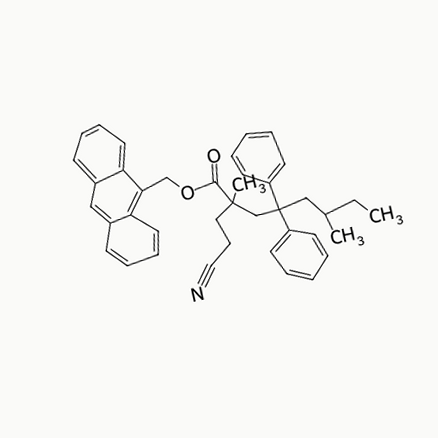 CCC(C)CC(CC(C)(CCC#N)C(=O)OCc1c2ccccc2cc2ccccc12)(c1ccccc1)c1ccccc1